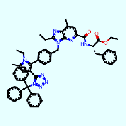 CCOC(=O)[C@H](Cc1ccccc1)NC(=O)c1cc(C)c2nc(CC)n(Cc3ccc(-c4c(-c5nnnn5C(c5ccccc5)(c5ccccc5)c5ccccc5)cc(C)n4CC)cc3)c2n1